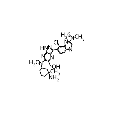 CN(C)c1cnc2ccc(-c3n[nH]c4nc(N(C)[C@@H]5CCC[C@@](C)(N)C5)c(CO)nc34)c(Cl)c2n1